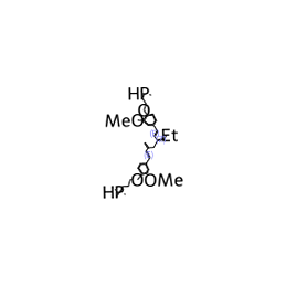 C=C(/C=C/c1ccc(OCCC[PH](C)(C)C)c(OC)c1)CC(=C/CC)/C=C/c1ccc(OCC[PH](C)(C)C)c(OC)c1